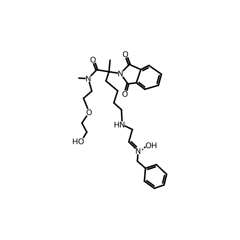 CN(CCOCCO)C(=O)C(C)(CCCCNCC=[N+](O)Cc1ccccc1)N1C(=O)c2ccccc2C1=O